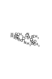 COc1cc(C(=O)N(C)C)ncc1-c1cc2nccc(-c3ccc(OC4CCN(C(=O)OC(C)(C)C)C4)c(C#N)c3)c2o1